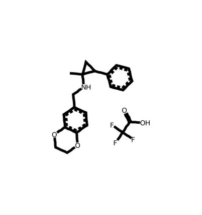 CC1(NCc2ccc3c(c2)OCCO3)CC1c1ccccc1.O=C(O)C(F)(F)F